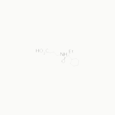 CCC(C(=O)NCCCC(=O)O)C1CCCCC1